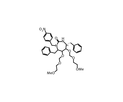 COCCOCOC1C(OCOCCOC)[C@@H](Cc2ccccc2)NC(=O)N(Cc2ccc([N+](=O)[O-])cc2)C1Cc1ccccc1